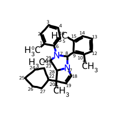 Cc1ccccc1N1C(c2c(C)cccc2C)N2C=CC(C)(C3CCCCC3)C2[C@@H]1C